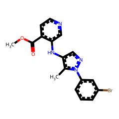 COC(=O)c1ccncc1Nc1cnn(-c2cccc(Br)c2)c1C